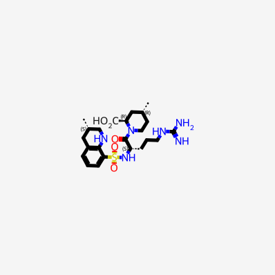 C[C@@H]1CNc2c(cccc2S(=O)(=O)N[C@@H](CCCNC(=N)N)C(=O)N2CC[C@@H](C)C[C@@H]2C(=O)O)C1